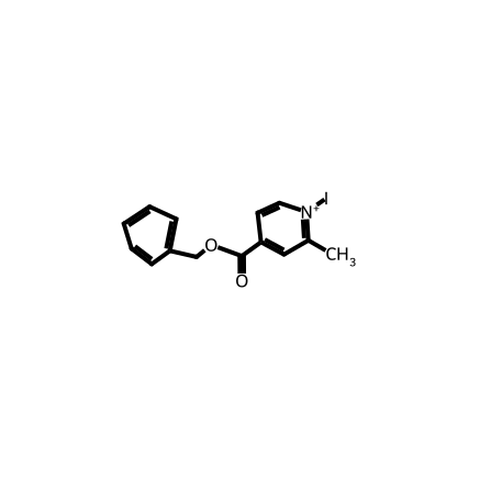 Cc1cc(C(=O)OCc2ccccc2)cc[n+]1I